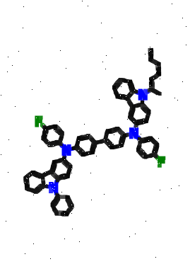 C=C/C=C\C=C(/C)n1c2ccccc2c2cc(N(c3ccc(F)cc3)c3ccc(-c4ccc(N(c5ccc(F)cc5)c5ccc6c(c5)c5ccccc5n6-c5ccccc5)cc4)cc3)ccc21